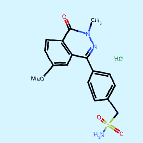 COc1ccc2c(=O)n(C)nc(-c3ccc(CS(N)(=O)=O)cc3)c2c1.Cl